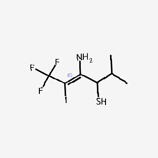 CC(C)C(S)/C(N)=C(\I)C(F)(F)F